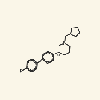 Fc1ccc(-c2ccc([C@@H]3CCCN(CC4CCCC4)C3)cc2)cc1